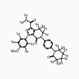 [2H]c1c([2H])c(-n2nc(C(=O)N([2H])[2H])c3c2C(=O)N(c2ccc(N4C(=O)C([2H])([2H])C([2H])([2H])C([2H])([2H])C4([2H])[2H])cc2)C([2H])([2H])C3([2H])[2H])c([2H])c([2H])c1OC